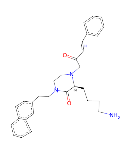 NCCCC[C@H]1C(=O)N(CCc2ccc3ccccc3c2)CCN1CC(=O)/C=C/c1ccccc1